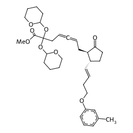 COC(=O)C(CC=C=CC[C@H]1C(=O)CC[C@@H]1/C=C/CCOc1cccc(C)c1)(OC1CCCCO1)OC1CCCCO1